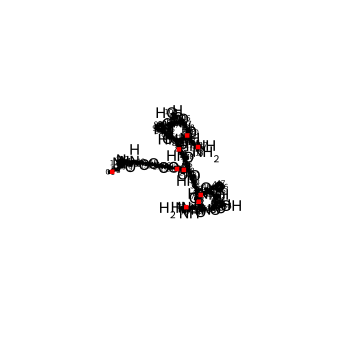 CCCCc1cn(CC(=O)NCCOCCOCCOCCOCCC(=O)N(CCC(=O)NCCCC[C@@H]2NC(=O)[C@@H](Cc3ccccc3)NC(=O)[C@H](CC(=O)O)NC(=O)CNC(=O)[C@H](CCCNC(=N)N)NC2=O)CCC(=O)NCCCC[C@@H]2NC(=O)[C@@H](Cc3ccccc3)NC(=O)[C@H](CC(=O)O)NC(=O)CNC(=O)[C@H](CCCNC(=N)N)NC2=O)nn1